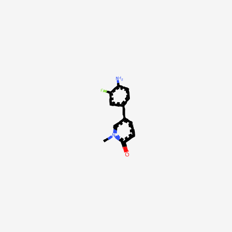 Cn1cc(-c2ccc(N)c(F)c2)ccc1=O